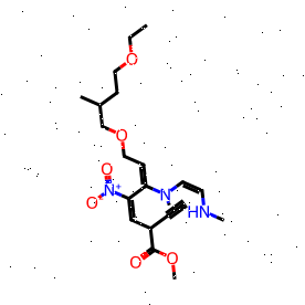 C#CC(/C=C(\C(=C/COCC(C)CCOCC)N(C)/C=C\NC)[N+](=O)[O-])C(=O)OC